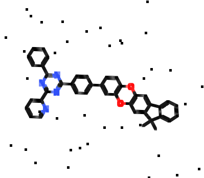 CC1(C)c2ccccc2-c2cc3c(cc21)Oc1cc(-c2ccc(-c4nc(-c5ccccc5)nc(-c5ccccn5)n4)cc2)ccc1O3